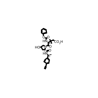 C#Cc1ccc([C@H](C)NC(=O)[C@@H]2C[C@@H](O)CN2C(=O)[C@H](NC(=O)Oc2ccccc2)C(C)(C)CC(=O)O)cc1